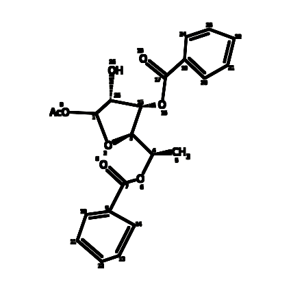 CC(=O)OC1O[C@H]([C@@H](C)OC(=O)c2ccccc2)[C@@H](OC(=O)c2ccccc2)[C@H]1O